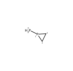 PP1CC1